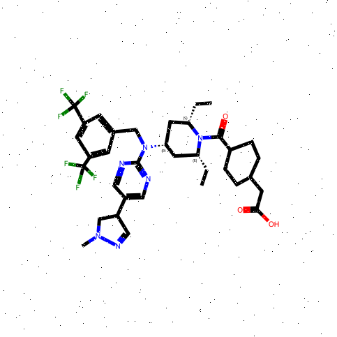 CC[C@@H]1C[C@H](N(Cc2cc(C(F)(F)F)cc(C(F)(F)F)c2)c2ncc(C3C=NN(C)C3)cn2)C[C@H](CC)N1C(=O)C1CCC(CC(=O)O)CC1